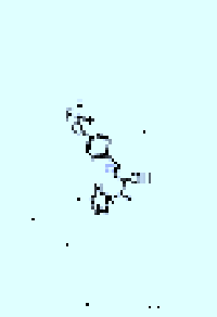 CC(C(O)/C=C/c1ccc(OC(F)(F)F)cc1)n1cncn1